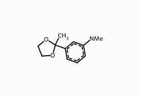 CNc1cccc(C2(C)OCCO2)c1